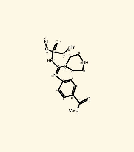 CCCSP(=O)(NC(=Nc1ccc(C(=O)OC)cc1)N1CCNCC1)OCC